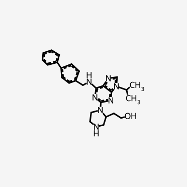 CC(C)n1cnc2c(NCc3ccc(-c4ccccc4)cc3)nc(N3CCNCC3CCO)nc21